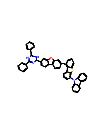 c1ccc(C2=NC(c3ccc4c(c3)oc3cc(-c5cccc6sc7c(-n8c9ccccc9c9ccccc98)cccc7c56)ccc34)NC(c3ccccc3)N2)cc1